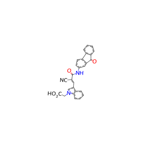 N#CC(=Cc1cn(CC(=O)O)c2ccccc12)C(=O)Nc1ccc2c(c1)C(=O)c1ccccc1-2